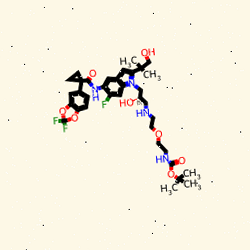 CC(C)(C)OC(=O)NCCOCCNC[C@H](O)Cn1c(C(C)(C)CO)cc2cc(NC(=O)C3(c4ccc5c(c4)OC(F)(F)O5)CC3)c(F)cc21